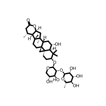 C[C@@H]1CC(=O)O[C@H]2C[C@@]3(C)[C@@H]4C[C@H](O)[C@H]5C(C)(C)[C@@H](O[C@@H]6OC[C@@H](O)[C@H](O)[C@H]6O[C@@H]6O[C@@H](C)[C@H](O)[C@@H](O)[C@H]6O)CC[C@@]56C[C@@]46CC[C@]3(C)[C@@H]12